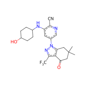 CC1(C)CC(=O)c2c(C(F)(F)F)nn(-c3cnc(C#N)c(NC4CCC(O)CC4)c3)c2C1